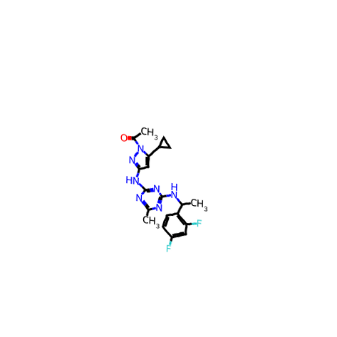 CC(=O)n1nc(Nc2nc(C)nc(NC(C)c3ccc(F)cc3F)n2)cc1C1CC1